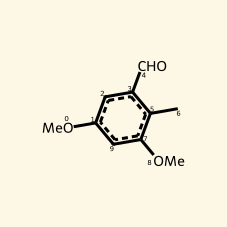 COc1cc(C=O)c(C)c(OC)c1